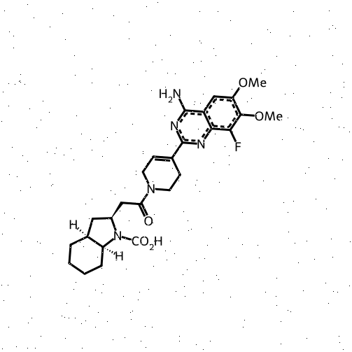 COc1cc2c(N)nc(C3=CCN(C(=O)C[C@@H]4C[C@@H]5CCCC[C@@H]5N4C(=O)O)CC3)nc2c(F)c1OC